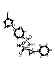 Cc1cnn(-c2ccc(S(=O)(=O)N[C@@]3(C(=O)O)C[C@@H]3c3ccccc3)cn2)c1